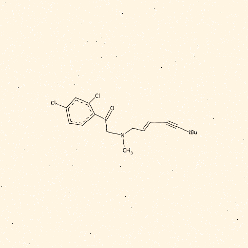 CN(C/C=C/C#CC(C)(C)C)CC(=O)c1ccc(Cl)cc1Cl